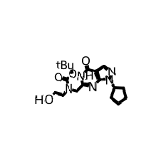 CC(C)(C)OC(=O)N(CCO)Cc1nc2c(cnn2C2CCCC2)c(=O)[nH]1